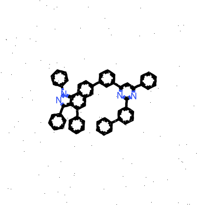 c1ccc(-c2cccc(-c3nc(-c4ccccc4)cc(-c4cccc(-c5ccc6c(c5)cc(-c5ccccc5)c5c(-c7ccccc7)nn(-c7ccccc7)c56)c4)n3)c2)cc1